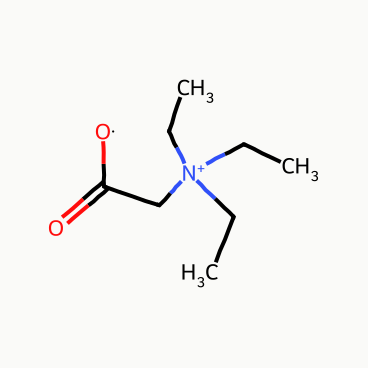 CC[N+](CC)(CC)CC([O])=O